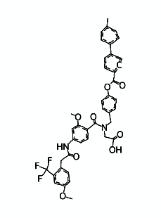 COc1ccc(CC(=O)Nc2ccc(C(=O)N(CC(=O)O)Cc3ccc(OC(=O)c4ccc(-c5ccc(C)cc5)cc4)cc3)c(OC)c2)c(C(F)(F)F)c1